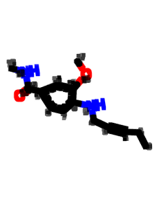 CCC#CCNc1ccc(C(=O)NC)cc1OC